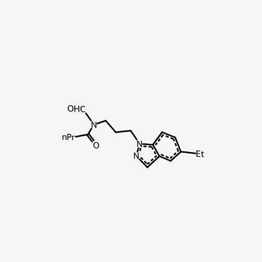 CCCC(=O)N(C=O)CCCn1ncc2cc(CC)ccc21